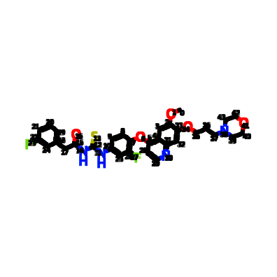 COc1cc2c(Oc3ccc(NC(=S)NC(=O)Cc4cccc(F)c4)cc3F)ccnc2cc1OCCCN1CCOCC1